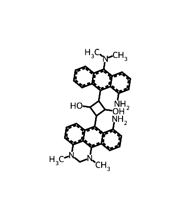 CN(C)c1c2ccccc2c(C2C(O)C(c3c4cccc5c4c(c4cccc(N)c34)N(C)CN5C)C2O)c2c(N)cccc12